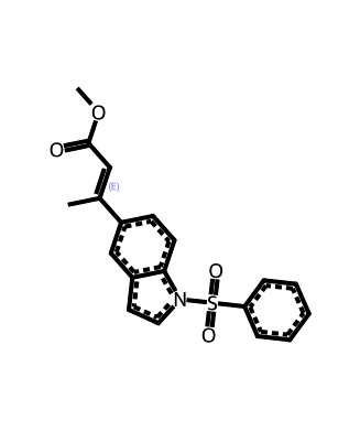 COC(=O)/C=C(\C)c1ccc2c(ccn2S(=O)(=O)c2ccccc2)c1